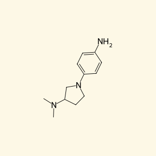 CN(C)C1CCN(c2ccc(N)cc2)C1